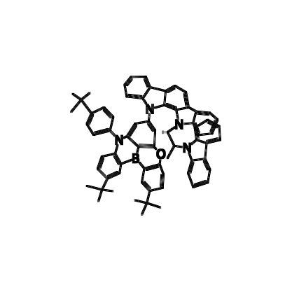 CC([C@H](C)n1c2ccccc2c2ccc3c4ccccc4n(-c4cc5c6c(c4)N(c4ccc(C(C)(C)C)cc4)c4ccc(C(C)(C)C)cc4B6c4cc(C(C)(C)C)ccc4O5)c3c21)n1c2ccccc2c2ccccc21